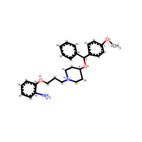 COc1ccc(C(OC2CCN(CCCOc3ccccc3N)CC2)c2ccccc2)cc1